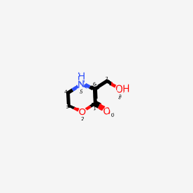 O=C1OCCNC1CO